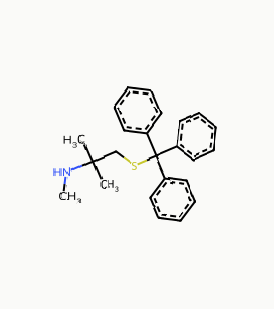 CNC(C)(C)CSC(c1ccccc1)(c1ccccc1)c1ccccc1